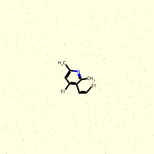 CC/C=C\c1c(CC)cc(C)nc1C